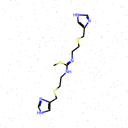 CSC(=NCCSCc1c[nH]cn1)NCCSCc1c[nH]cn1